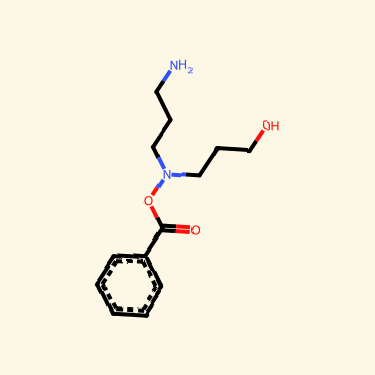 NCCCN(CCCO)OC(=O)c1ccccc1